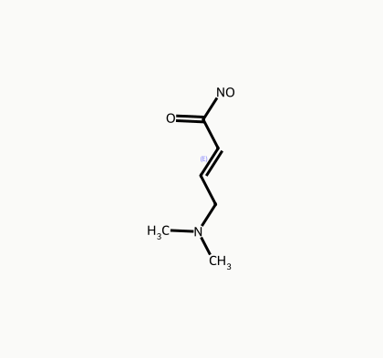 CN(C)C/C=C/C(=O)N=O